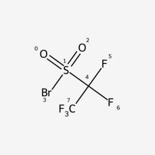 O=S(=O)(Br)C(F)(F)C(F)(F)F